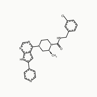 C[C@H]1CN(c2ncnc3[nH]c(-c4ccncc4)cc23)CCN1C(=O)NCc1cccc(Cl)c1